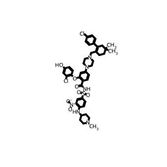 CN1CCC(Nc2ccc(S(=O)(=O)NC(=O)c3ccc(N4CCN(CC5=C(c6ccc(Cl)cc6)CC(C)(C)CC5)CC4)cc3Oc3ccc(O)cc3Cl)cc2[N+](=O)[O-])CC1